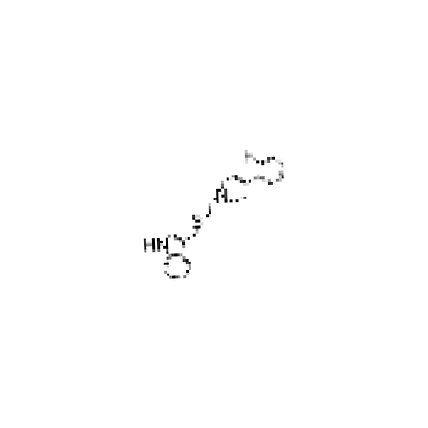 Fc1ccccc1C1=CCN(CCSCc2c[nH]c3ccccc23)CC1